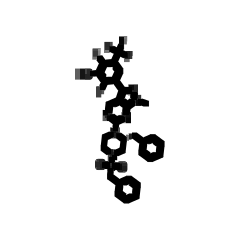 Cn1nc(-c2cc(C(F)(F)F)c(F)c(O)c2F)c2cnc(N3CCN(S(=O)(=O)Cc4ccccc4)C[C@H]3Cc3ccccc3)nc21